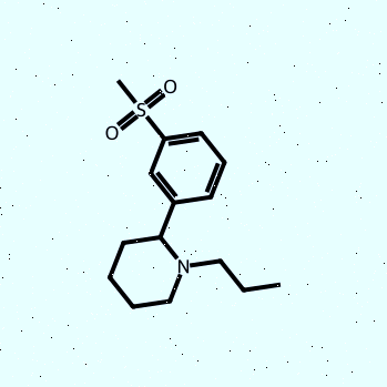 CCCN1CCCCC1c1cccc(S(C)(=O)=O)c1